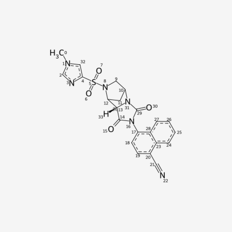 Cn1cnc(S(=O)(=O)N2CC3CC2[C@H]2C(=O)N(c4ccc(C#N)c5ccccc45)C(=O)N32)c1